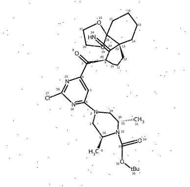 C[C@H]1CN(c2cc(C(=O)[C@@H]3CCC[C@@]4(CCCCC45OCCO5)C3=N)nc(Cl)n2)C[C@H](C)N1C(=O)OC(C)(C)C